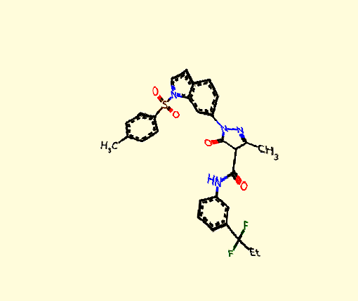 CCC(F)(F)c1cccc(NC(=O)C2C(=O)N(c3ccc4ccn(S(=O)(=O)c5ccc(C)cc5)c4c3)N=C2C)c1